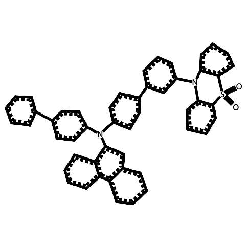 O=S1(=O)c2ccccc2N(c2cccc(-c3ccc(N(c4ccc(-c5ccccc5)cc4)c4cc5ccccc5c5ccccc45)cc3)c2)c2ccccc21